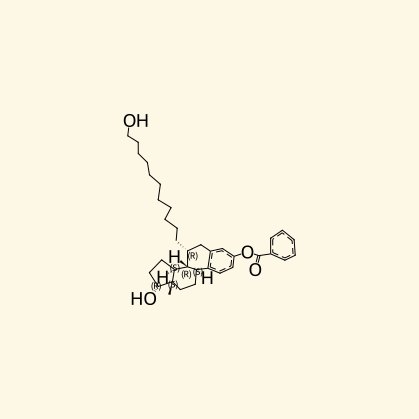 C[C@]12CC[C@@H]3c4ccc(OC(=O)c5ccccc5)cc4C[C@@H](CCCCCCCCCCCO)[C@H]3[C@@H]1CC[C@H]2O